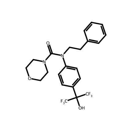 O=C(N1CCOCC1)N(CCc1ccccc1)c1ccc(C(O)(C(F)(F)F)C(F)(F)F)cc1